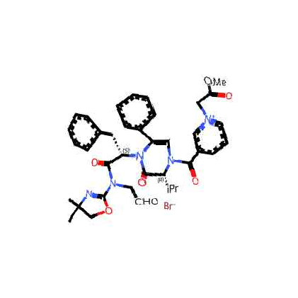 COC(=O)C[n+]1cccc(C(=O)N2C=C(c3ccccc3)N([C@@H](Cc3ccccc3)C(=O)N(CC=O)C3=NC(C)(C)CO3)C(=O)[C@H]2C(C)C)c1.[Br-]